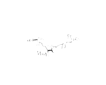 CCN(CC)CCNCCNC(=O)C(CCCNC(=N)N)NC